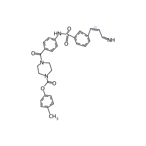 Cc1ccc(OC(=O)N2CCN(C(=O)c3ccc(NS(=O)(=O)c4cccc(/C=C\C=N)c4)cc3)CC2)cc1